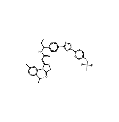 CCC(NC(=O)/N=C1\SCC(=O)N1c1cc(C)ccc1C(C)C)c1ccc(-c2ncn(-c3ccc(OC(F)(F)F)cc3)n2)cc1